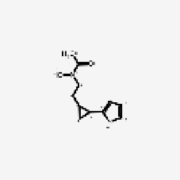 CC(=O)N(O)CCC1CC1c1cccs1